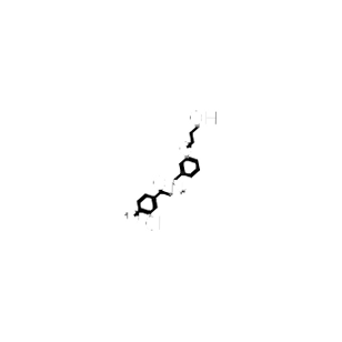 COc1ccc(C(=O)CN(C)Cc2cccc(OCCCO)c2)cc1Cl